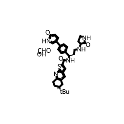 CC(C)(C)[C@H]1CCc2nc3sc(C(=O)N[C@H](CCNC4CCNC4=O)c4ccc(-c5ccc(=O)[nH]c5)cc4)cc3cc2C1.O=CO